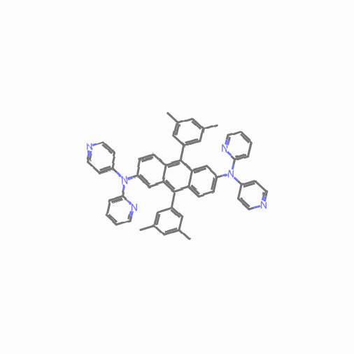 Cc1cc(C)cc(-c2c3ccc(N(c4ccncc4)c4ccccn4)cc3c(-c3cc(C)cc(C)c3)c3ccc(N(c4ccncc4)c4ccccn4)cc23)c1